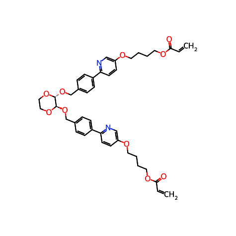 C=CC(=O)OCCCCOc1ccc(-c2ccc(CO[C@H]3OCCO[C@@H]3OCc3ccc(-c4ccc(OCCCCOC(=O)C=C)cn4)cc3)cc2)nc1